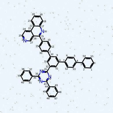 c1ccc(-c2ccc(-c3cc(-c4ccc(-c5nc6ccccc6c6ccncc56)cc4)cc(-c4nc(-c5ccccc5)nc(-c5ccccc5)n4)c3)cc2)cc1